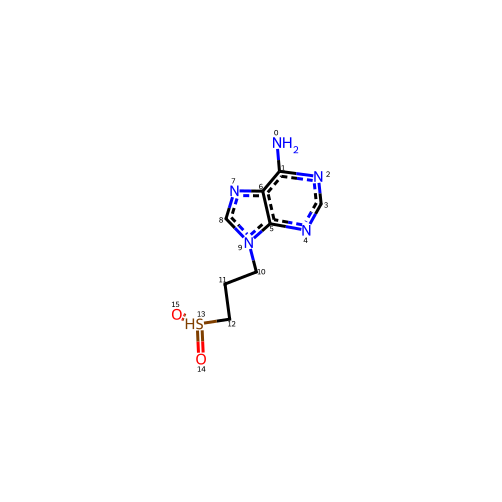 Nc1ncnc2c1ncn2CCC[SH](=O)=O